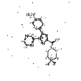 Nc1ccc(-c2cc(C(=O)N3CCC(F)(F)CC3)nn2-c2cnccn2)nc1